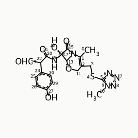 CC1=C(CSc2nnnn2C)COC2N1C(=O)[C@@]2(O)NC(=O)C(C=O)c1ccc(O)cc1